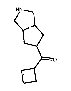 O=C(C1CCC1)C1CC2CNCC2C1